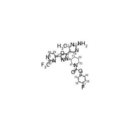 Cc1nc(N)nc(C2CCN(C(=O)Oc3ccc(F)cc3)CC2)c1-c1nnc(-c2ccnc(C(F)(F)F)n2)o1